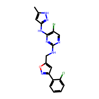 Cc1cc(Nc2nc(NCc3cc(-c4ccccc4Cl)no3)ncc2Br)n[nH]1